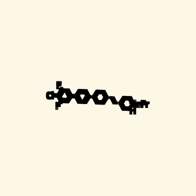 CCC[Si@H]1CC[C@H](CC[C@H]2CC[C@H](c3ccc(-c4cc(F)c(Cl)c(F)c4)cc3)CC2)CC1